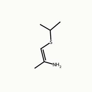 C/C(N)=C/SC(C)C